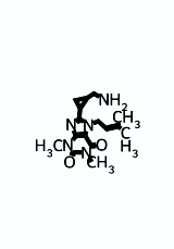 CC(C)=CCn1c(C2CC2CN)nc2c1c(=O)n(C)c(=O)n2C